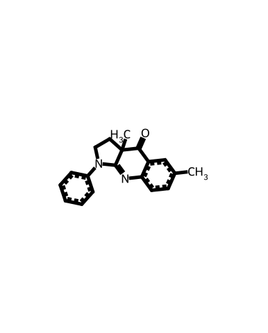 Cc1ccc2c(c1)C(=O)C1(C)CCN(c3ccccc3)C1=N2